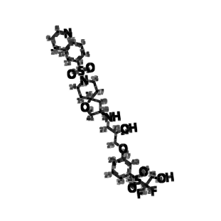 O=S(=O)(c1ccc2ncccc2c1)N1CCC2(CC1)C[C@@H](NCC(O)COc1cccc(S(=O)(=O)C(F)(F)CO)c1)CO2